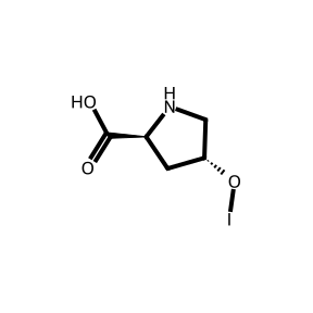 O=C(O)[C@@H]1C[C@@H](OI)CN1